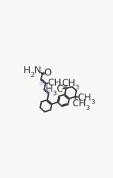 CC(/C=C/C1=C(c2ccc3c(c2)C(C)(C)CCC3(C)C)CCCC1)=C\C(N)=O